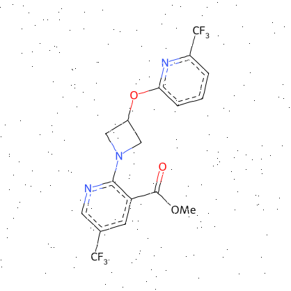 COC(=O)c1cc(C(F)(F)F)cnc1N1CC(Oc2cccc(C(F)(F)F)n2)C1